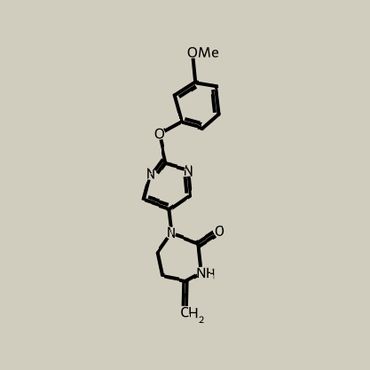 C=C1CCN(c2cnc(Oc3cccc(OC)c3)nc2)C(=O)N1